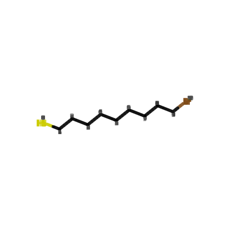 SCCCCCCCCCBr